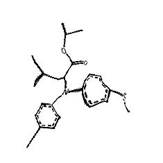 CSc1ccc(N(c2ccc(C)cc2)C(C(=O)OC(C)C)C(C)C)cc1